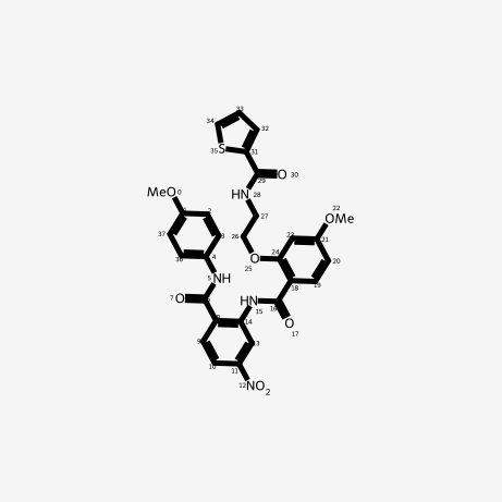 COc1ccc(NC(=O)c2ccc([N+](=O)[O-])cc2NC(=O)c2ccc(OC)cc2OCCNC(=O)c2cccs2)cc1